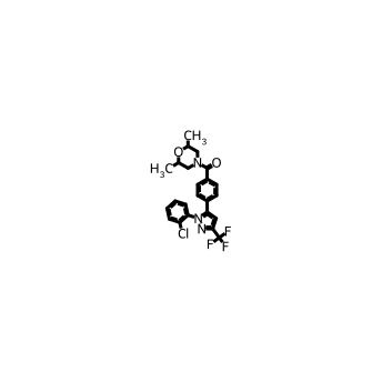 CC1CN(C(=O)c2ccc(-c3cc(C(F)(F)F)nn3-c3ccccc3Cl)cc2)CC(C)O1